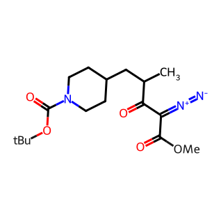 COC(=O)C(=[N+]=[N-])C(=O)C(C)CC1CCN(C(=O)OC(C)(C)C)CC1